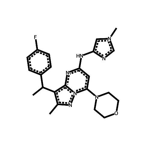 Cc1nn2c(N3CCOCC3)cc(Nc3cn(C)cn3)nc2c1C(C)c1ccc(F)cc1